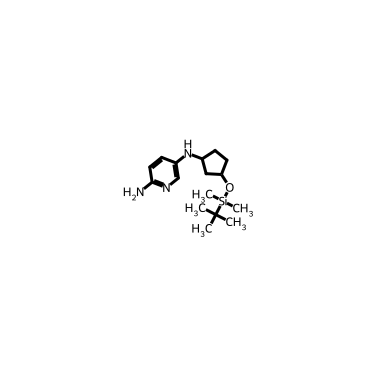 CC(C)(C)[Si](C)(C)OC1CCC(Nc2ccc(N)nc2)C1